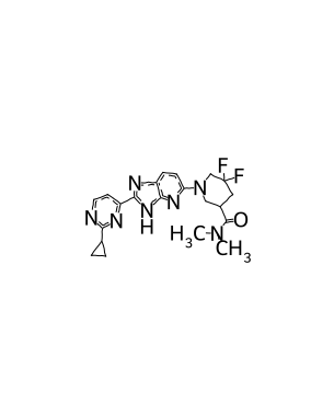 CN(C)C(=O)C1CN(c2ccc3nc(-c4ccnc(C5CC5)n4)[nH]c3n2)CC(F)(F)C1